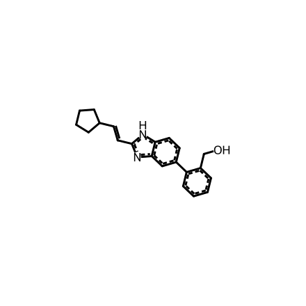 OCc1ccccc1-c1ccc2[nH]c(/C=C/C3CCCC3)nc2c1